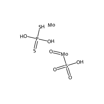 OP(O)(=S)S.[Mo].[O]=[Mo][S](=O)(=O)O